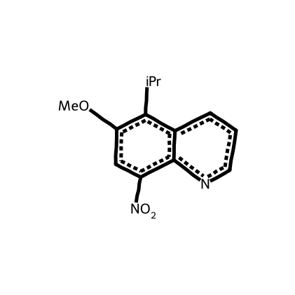 COc1cc([N+](=O)[O-])c2ncccc2c1C(C)C